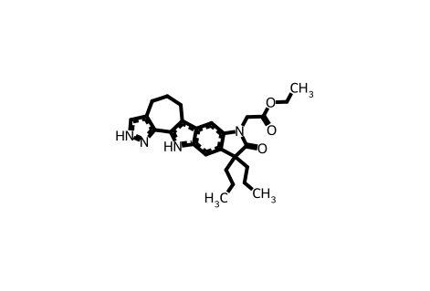 CCCC1(CCC)C(=O)N(CC(=O)OCC)c2cc3c4c([nH]c3cc21)-c1n[nH]cc1CCC4